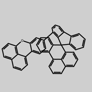 c1ccc2c(c1)-c1cccc(-c3ccc4c(c3)Oc3cccc5cccc-4c35)c1C21c2ccccc2-c2cccc3cccc1c23